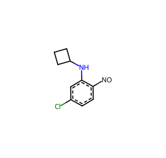 O=Nc1ccc(Cl)cc1NC1CCC1